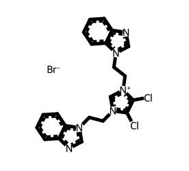 Clc1c(Cl)[n+](CCn2cnc3ccccc32)cn1CCn1cnc2ccccc21.[Br-]